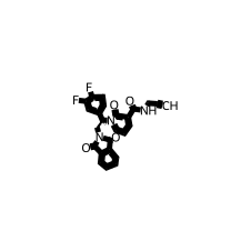 C#CCNC(=O)c1cccn([C@@H](CN2C(=O)c3ccccc3C2=O)c2ccc(F)c(F)c2)c1=O